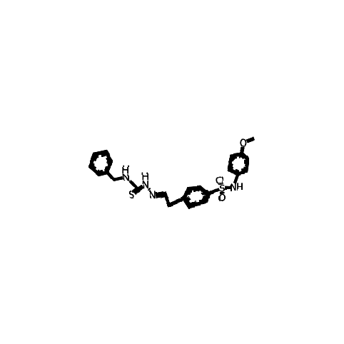 COc1ccc(NS(=O)(=O)c2ccc(CC=NNC(=S)NCc3ccccc3)cc2)cc1